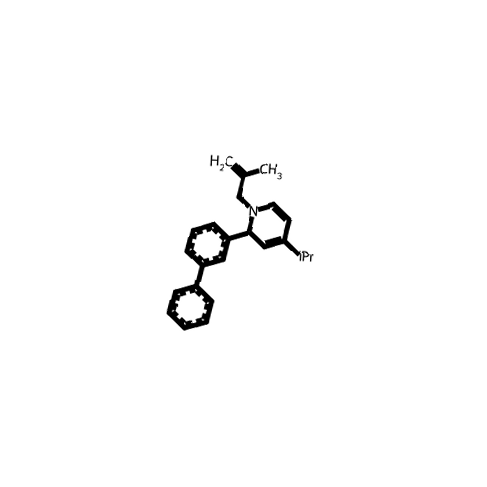 C=C(C)CN1C=CC(C(C)C)=CC1c1cccc(-c2ccccc2)c1